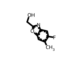 Cc1cc2oc(CO)nc2cc1F